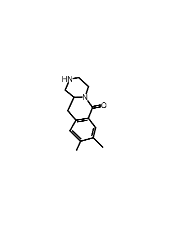 Cc1cc2c(cc1C)C(=O)N1CCNCC1C2